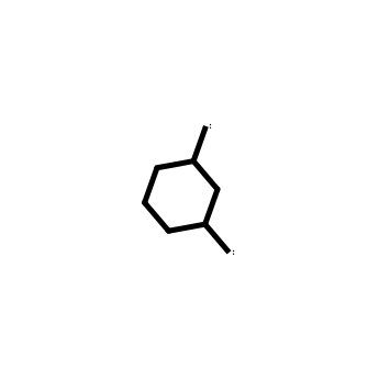 [CH]C1CCCC([CH])C1